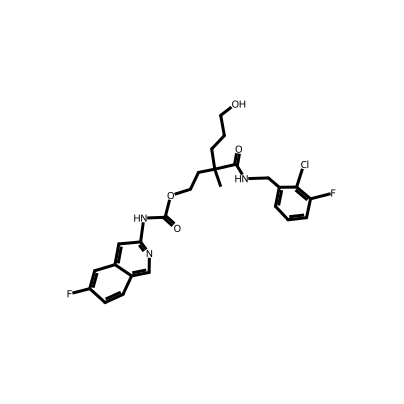 CC(CCCO)(CCOC(=O)Nc1cc2cc(F)ccc2cn1)C(=O)NCc1cccc(F)c1Cl